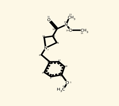 COc1ccc(CN2CC(C(=O)N(C)OC)C2)cc1